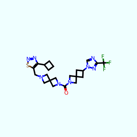 O=C(N1CC2(CC(n3cnc(C(F)(F)F)n3)C2)C1)N1CC2(CN(Cc3snnc3C3CCC3)C2)C1